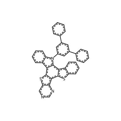 c1ccc(-c2cc(-c3ccccc3)cc(-n3c4ccccc4c4c5sc6cncnc6c5c5sc6ccccc6c5c43)c2)cc1